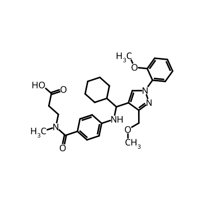 COCc1nn(-c2ccccc2OC)cc1C(Nc1ccc(C(=O)N(C)CCC(=O)O)cc1)C1CCCCC1